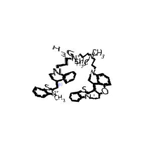 C[n+]1c(/C=C2\C=CN(CCC[N+](C)(C)CCC[N+](C)(C)CCCN3C=CC4=C5c6sc7ccccc7[n+]6CCC5Oc5cccc3c54)c3ccccc32)sc2ccccc21